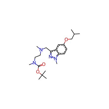 CC(C)COc1ccc2c(c1)c(CN(C)CCN(C)C(=O)OC(C)(C)C)nn2C